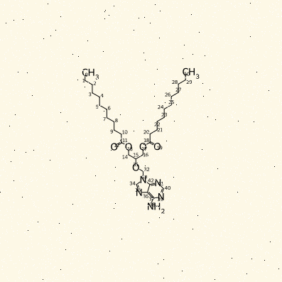 CCCCCCCCCCCC(=O)OCC(COC(=O)CCCCCCCCCCC)OCn1cnc2c(N)ncnc21